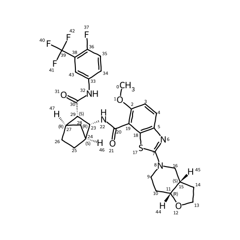 COc1ccc2nc(N3CC[C@H]4OCC[C@H]4C3)sc2c1C(=O)N[C@@H]1[C@H]2CC[C@H](C2)[C@@H]1C(=O)Nc1ccc(F)c(C(F)(F)F)c1